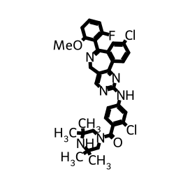 COC1CC=CC(F)=C1C1=NCc2cnc(Nc3ccc(C(=O)N4CC(C)(C)NC(C)(C)C4)c(Cl)c3)nc2-c2ccc(Cl)cc21